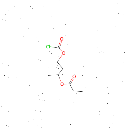 CCC(=O)OC(C)CCOC(=O)Cl